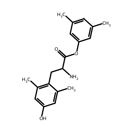 Cc1[c]c(C)cc(OC(=O)C(N)Cc2c(C)cc(O)cc2C)c1